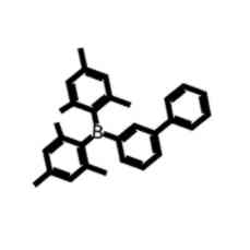 Cc1cc(C)c(B(c2cccc(-c3ccccc3)c2)c2c(C)cc(C)cc2C)c(C)c1